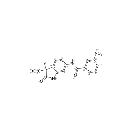 CCOC(=O)C1(C)C(=O)Nc2cc(NC(=O)c3cccc([N+](=O)[O-])c3)ccc21